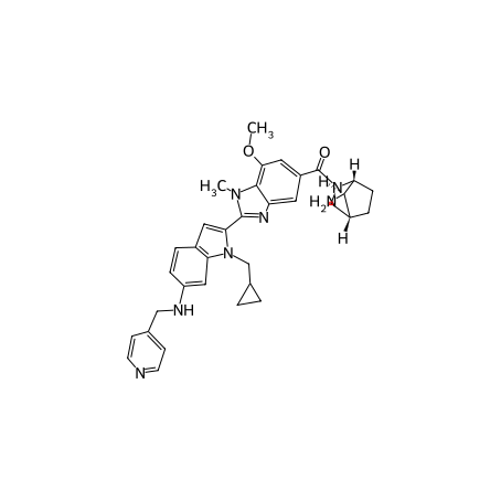 COc1cc(C(=O)N2C[C@H]3CC[C@@H]2[C@@H]3N)cc2nc(-c3cc4ccc(NCc5ccncc5)cc4n3CC3CC3)n(C)c12